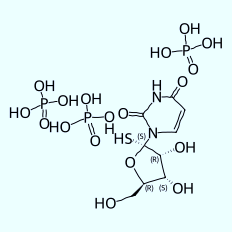 O=P(O)(O)O.O=P(O)(O)O.O=P(O)(O)O.O=c1ccn([C@]2(S)O[C@H](CO)[C@@H](O)[C@H]2O)c(=O)[nH]1